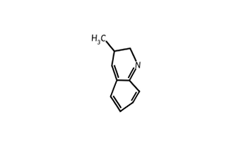 CC1C=c2ccccc2=NC1